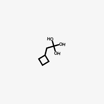 OC(O)(O)CC1CCC1